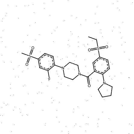 CCS(=O)(=O)c1ccc(N2CCCC2)c(C(=O)N2CCN(c3ccc(S(C)(=O)=O)cc3F)CC2)c1